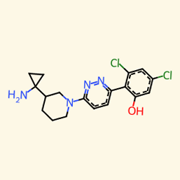 NC1(C2CCCN(c3ccc(-c4c(O)cc(Cl)cc4Cl)nn3)C2)CC1